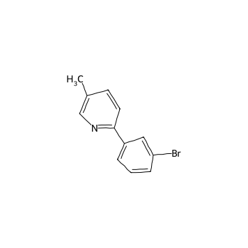 Cc1ccc(-c2cccc(Br)c2)nc1